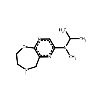 CC(C)N(C)c1cnc2c(n1)CNCCO2